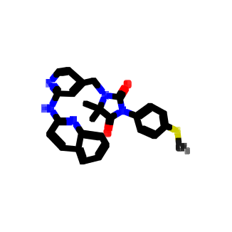 CC1(C)C(=O)N(c2ccc(SC(F)(F)F)cc2)C(=O)N1Cc1ccnc(Nc2ccc3ccccc3n2)c1